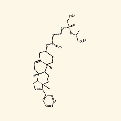 CCOC(=O)[C@H](C)NP(=O)(COC)OCOC(=O)O[C@H]1CC[C@@]2(C)C(=CC[C@@H]3C2CC[C@]2(C)C(c4cccnc4)=CCC32)C1